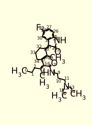 CCC/C(C)=C(/C(=O)NCCCN(CC)CC)C1=C(C)/C(=C2\C(=O)Nc3ccc(F)cc32)CCC1